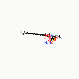 CCCCCCCCCCCCCCCCCC(=O)OCOC(=O)N(CC)[C@H]1C[C@H](C)S(=O)(=O)c2sc(S(N)(=O)=O)cc21